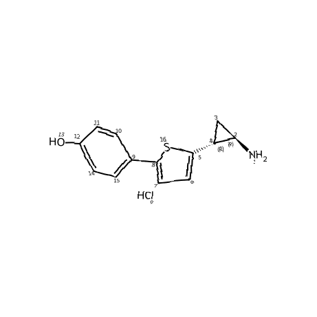 Cl.N[C@@H]1C[C@H]1c1ccc(-c2ccc(O)cc2)s1